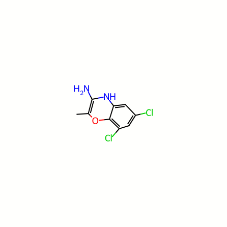 CC1=C(N)Nc2cc(Cl)cc(Cl)c2O1